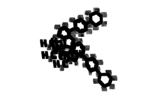 CC1=Cc2c(-c3ccc(C4CCCCC4)cc3)cccc2[CH]1[Zr]([Cl])([Cl])([CH]1C(C)=Cc2c(-c3ccc(C4CCCCC4)cc3)cccc21)[SiH](C)C